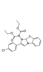 CCOC(=O)N(C(=O)OCC)N1C(c2ccc(Cl)cc2)=CN2c3ccccc3SC21